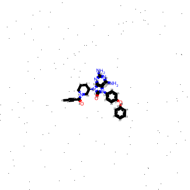 CC#CC(=O)N1CCC[C@@H](n2c(=O)n(-c3ccc(Oc4ccccc4)cc3)c3c(N)nc(N)nc32)C1